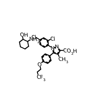 Cc1c(C(=O)O)nn(-c2ccc(Cl)cc2Cl)c1-c1ccc(OCCC(F)(F)F)cc1.NC1CCCCC1O